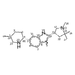 C[C@H]1CC[C@H](c2ccc3sc(C4CN(C)C(C)(C)C4)nc3c2)NC1